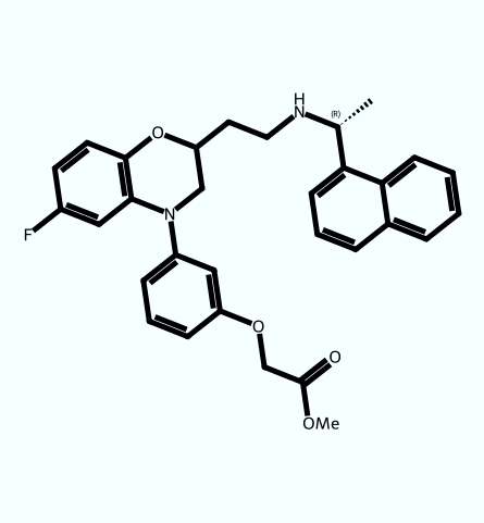 COC(=O)COc1cccc(N2CC(CCN[C@H](C)c3cccc4ccccc34)Oc3ccc(F)cc32)c1